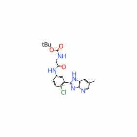 Cc1cnc2nc(-c3cc(NC(=O)CNC(=O)OC(C)(C)C)ccc3Cl)[nH]c2c1